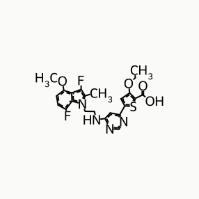 CCOc1cc(-c2cc(NCCn3c(C)c(F)c4c(OC)ccc(F)c43)ncn2)sc1C(=O)O